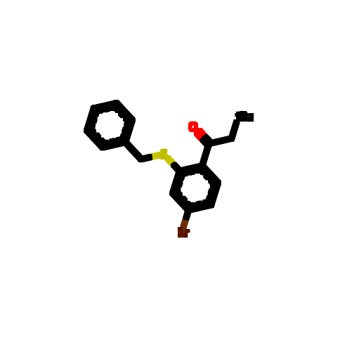 CC(C)(C)CC(=O)c1ccc(Br)cc1SCc1ccccc1